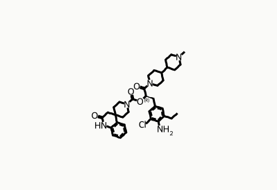 CCc1cc(C[C@@H](OC(=O)N2CCC3(CC2)CC(=O)Nc2ccccc23)C(=O)N2CCC(C3CCN(C)CC3)CC2)cc(Cl)c1N